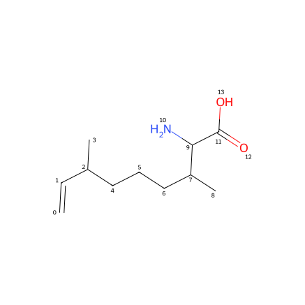 C=CC(C)CCCC(C)C(N)C(=O)O